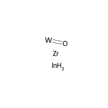 [InH3].[O]=[W].[Zr]